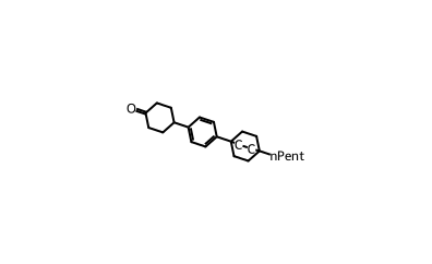 CCCCCC12CCC(c3ccc(C4CCC(=O)CC4)cc3)(CC1)CC2